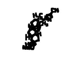 C=C(Cn1cc(C#N)cn1)[C@H]1CC[C@H]2[C@@H]3CC[C@H]4C[C@@](O)(COC)CC[C@@H]4[C@H]3CC[C@]12C